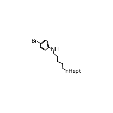 CCCCCCCCCCCCNc1ccc(Br)cc1